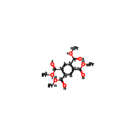 CC(C)OC(=O)c1cc(C(=O)OC(C)C)c(C(=O)OC(C)C)cc1C(=O)OC(C)C